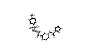 CC(C)(C)c1ccc(S(=O)(=O)NNC(=O)C2CCCN(CC(=O)c3cccs3)C2)cc1